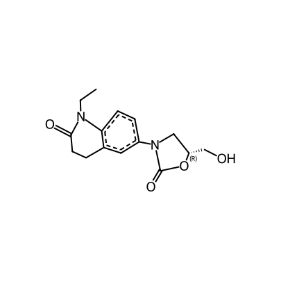 CCN1C(=O)CCc2cc(N3C[C@H](CO)OC3=O)ccc21